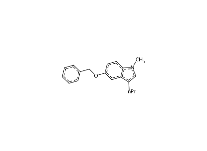 CCCc1cn(C)c2ccc(OCc3ccccc3)cc12